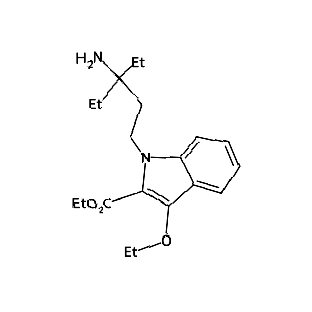 CCOC(=O)c1c(OCC)c2ccccc2n1CCC(N)(CC)CC